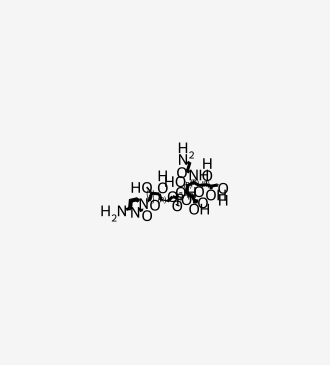 NCC(=O)N[C@H]1C([C@H](O)C(O)CO)O[C@](OP(=O)(O)OC[C@H]2O[C@@H](n3ccc(N)nc3=O)[C@@H](O)C2O)(C(=O)O)C[C@H]1O